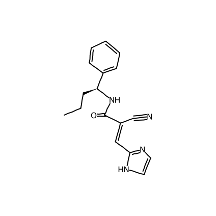 CCC[C@H](NC(=O)/C(C#N)=C/c1ncc[nH]1)c1ccccc1